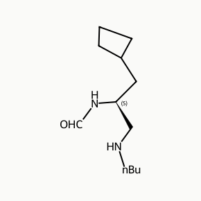 CCCCNC[C@H](CC1CCC1)NC=O